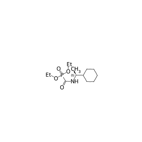 CCOP(=O)(OCC)C(=O)N[C@@H](C)C1CCCCC1